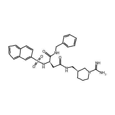 N=C(N)N1CCC[C@@H](CNC(=O)C[C@@H](NS(=O)(=O)c2ccc3ccccc3c2)C(=O)NCc2ccccc2)C1